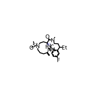 C=C1CCCN([S+](C)[O-])CC/C(C(=O)N(C)CCC(CC)c2cc(F)ccc2C(F)(F)F)=N\N1